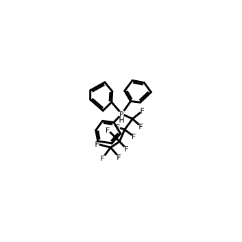 FC(F)(F)C(F)(F)C(F)(F)C(F)(F)[PH](c1ccccc1)(c1ccccc1)c1ccccc1